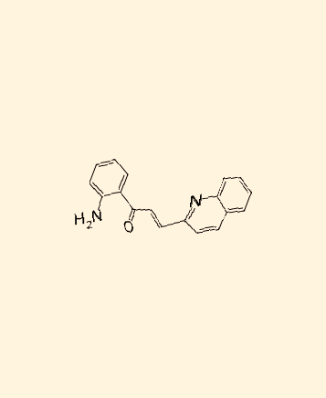 Nc1ccccc1C(=O)C=Cc1ccc2ccccc2n1